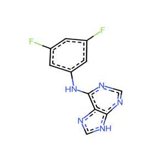 Fc1cc(F)cc(Nc2ncnc3[nH]cnc23)c1